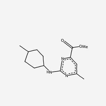 COC(=O)c1cc(C)nc(NC2CCC(C)CC2)n1